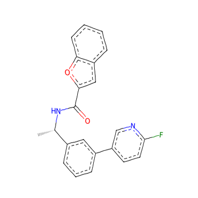 C[C@H](NC(=O)c1cc2ccccc2o1)c1cccc(-c2ccc(F)nc2)c1